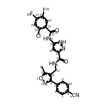 Cc1onc(-c2ccc(C#N)cc2)c1CNC(=O)c1cc(NC(=O)c2cc(F)c(F)cc2Cl)[nH]n1